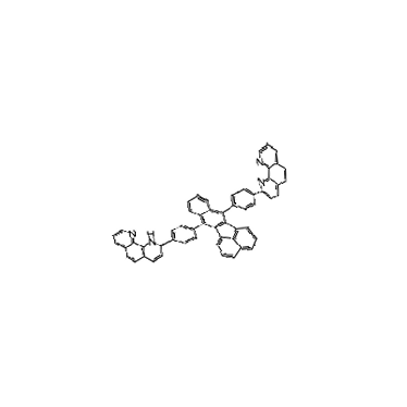 C1=CC(c2ccc(-c3c4c(c(-c5ccc(-c6ccc7ccc8cccnc8c7n6)cc5)c5ccccc35)-c3cccc5cccc-4c35)cc2)Nc2c1ccc1cccnc21